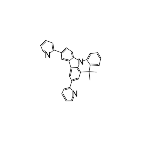 CC1(C)c2ccccc2-n2c3ccc(-c4ccccn4)cc3c3cc(-c4ccccn4)cc1c32